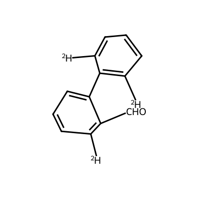 [2H]c1cccc(-c2c([2H])cccc2[2H])c1C=O